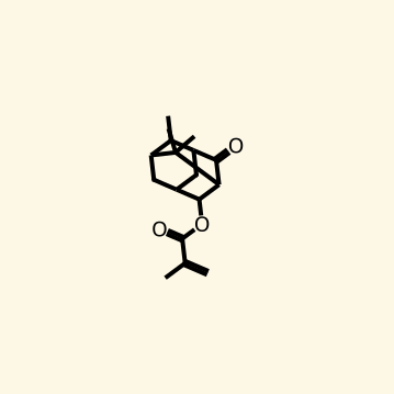 C=C(C)C(=O)OC1C2CC3C(=O)C1C(C)(C)C(C2)C3C